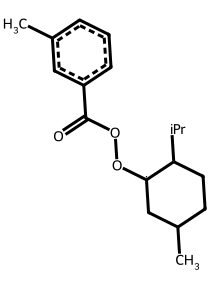 Cc1cccc(C(=O)OO[C]2CC(C)CCC2C(C)C)c1